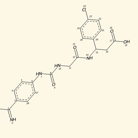 N=C(N)c1ccc(NC(=O)NCC(=O)NC(CC(=O)O)c2ccc(Cl)cc2)cc1